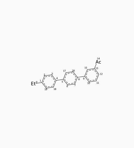 CCc1ccc(-c2ccc(-c3cccc(C(C)=O)c3)cc2)cc1